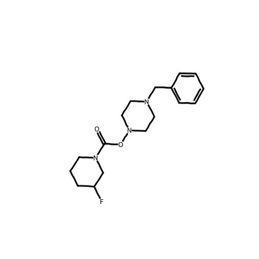 O=C(ON1CCN(Cc2ccccc2)CC1)N1CCCC(F)C1